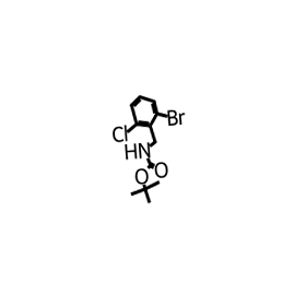 CC(C)(C)OC(=O)NCc1c(Cl)cccc1Br